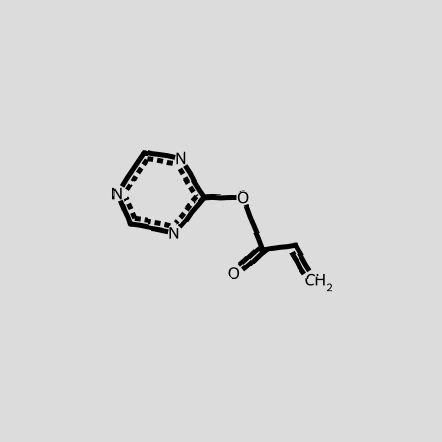 C=CC(=O)Oc1ncncn1